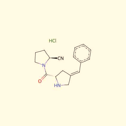 Cl.N#C[C@@H]1CCCN1C(=O)[C@@H]1CC(=Cc2ccccc2)CN1